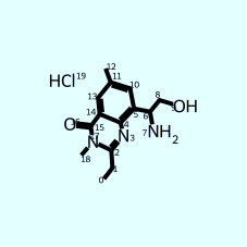 CCc1nc2c(C(N)CO)cc(C)cc2c(=O)n1C.Cl